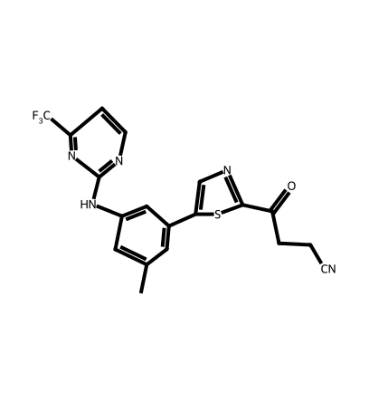 Cc1cc(Nc2nccc(C(F)(F)F)n2)cc(-c2cnc(C(=O)CCC#N)s2)c1